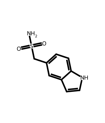 NS(=O)(=O)Cc1ccc2[nH]ccc2c1